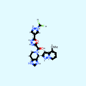 COc1cccn2nc([C@@H]3c4nc[nH]c4CCN3C(=O)c3nnc(-c4cnn(C(F)F)c4)o3)cc12